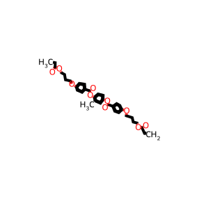 C=CC(=O)OCCCCOc1ccc(C(=O)Oc2ccc(OC(=O)c3ccc(OCCCCOC(=O)CC)cc3)c(C)c2)cc1